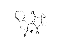 O=C1NC2(CC2)C(=O)N1[C@H](c1ccccc1)C(F)(F)F